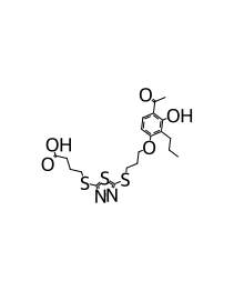 CCCc1c(OCCCSc2nnc(SCCCC(=O)O)s2)ccc(C(C)=O)c1O